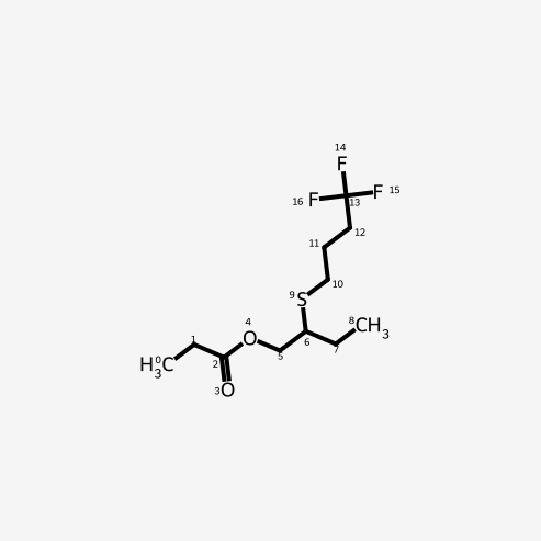 CCC(=O)OCC(CC)SCCCC(F)(F)F